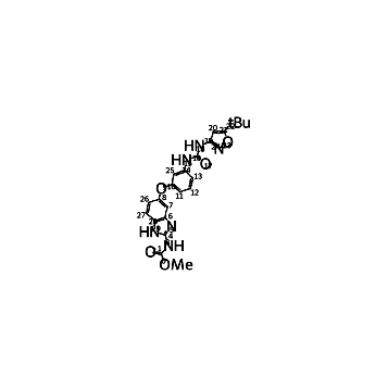 COC(=O)Nc1nc2cc(Oc3cccc(NC(=O)Nc4cc(C(C)(C)C)on4)c3)ccc2[nH]1